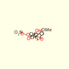 COc1ccc2c(=O)oc3cc(C(C)(C)C(=O)OCCO[N+](=O)[O-])cc(O)c3c2c1